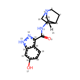 O=C(N[C@@H]1CN2CCC1CC2)c1n[nH]c2cc(O)ccc12